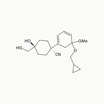 COC1(OCC2CC2)C=CC=C([C@]2(C#N)CC[C@@](O)(CO)CC2)C1